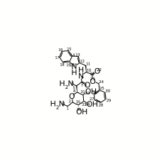 NCC1O[C@@H](C(N)C(=O)N[C@@H](Cc2cc3ccccc3[nH]2)C(=O)OCc2ccccc2)C(O)C(O)[C@@H]1O